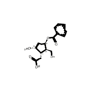 O=C(O)C[C@H]1[C@H](CO)[C@H](OC(=O)c2ccccc2)C[C@H]1O